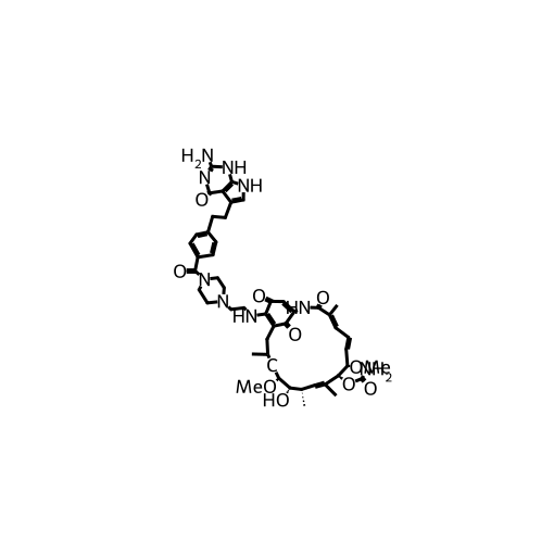 CO[C@H]1/C=C\C=C(/C)C(=O)NC2=CC(=O)C(NCCN3CCN(C(=O)c4ccc(CCc5c[nH]c6[nH]c(N)nc(=O)c56)cc4)CC3)=C(CC(C)C[C@H](OC)[C@@H](O)[C@@H](C)/C=C(\C)[C@@H]1OC(N)=O)C2=O